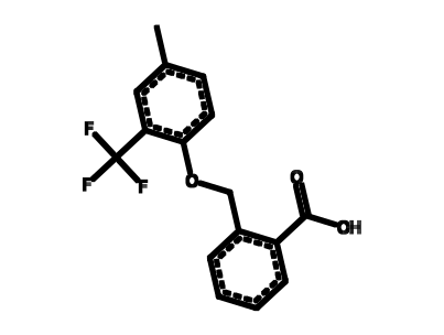 Cc1ccc(OCc2ccccc2C(=O)O)c(C(F)(F)F)c1